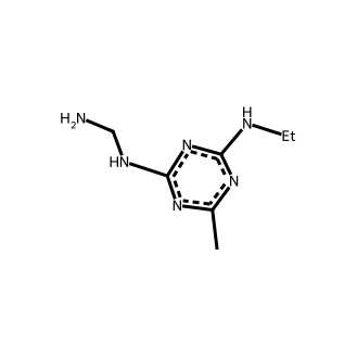 CCNc1nc(C)nc(NCN)n1